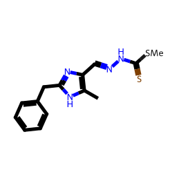 CSC(=S)NN=Cc1nc(Cc2ccccc2)[nH]c1C